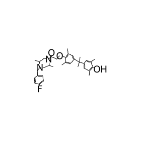 Cc1cc(C(C)(C)c2cc(C)c(OCC(=O)N3CC(C)N(Cc4ccc(F)cc4)CC3C)c(C)c2)cc(C)c1O